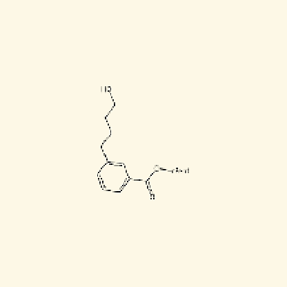 CCCCCOC(=O)c1cccc(CCCCO)c1